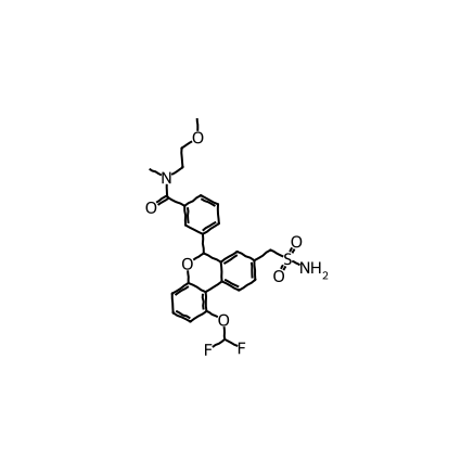 COCCN(C)C(=O)c1cccc(C2Oc3cccc(OC(F)F)c3-c3ccc(CS(N)(=O)=O)cc32)c1